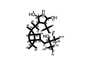 CC(C)(C)C1C(O)N[C@H](O)C1C(C)(C)C1(C)C2C3C(C)(C)C34C(CC(O)(C(F)(F)F)C(F)(F)F)CC214